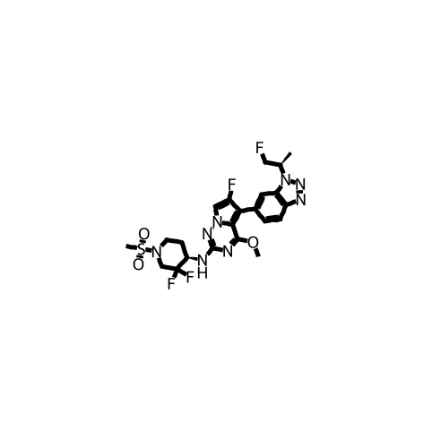 COc1nc(N[C@@H]2CCN(S(C)(=O)=O)CC2(F)F)nn2cc(F)c(-c3ccc4nnn([C@H](C)CF)c4c3)c12